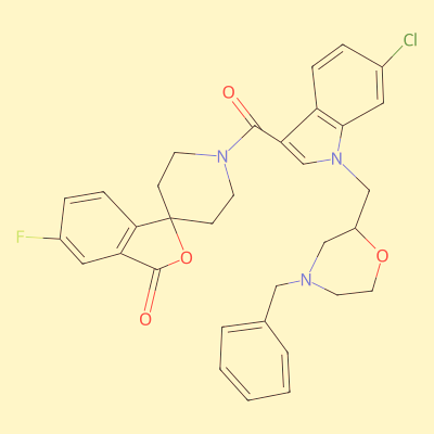 O=C1OC2(CCN(C(=O)c3cn(CC4CN(Cc5ccccc5)CCO4)c4cc(Cl)ccc34)CC2)c2ccc(F)cc21